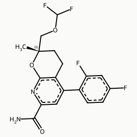 C[C@@]1(COC(F)F)CCc2c(-c3ccc(F)cc3F)cc(C(N)=O)nc2O1